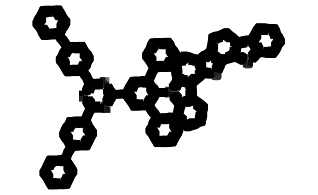 c1ccc(-c2ccc(-c3nc(-c4ccc(-c5ccccc5)cc4)nc(-c4cc(-c5ccccc5)c(-n5c6ccccc6c6c7oc8c(ccc9c%10ccccc%10oc98)c7ccc65)c(-c5ccccc5)c4)n3)cc2)cc1